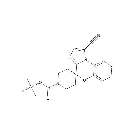 CC(C)(C)OC(=O)N1CCC2(CC1)Oc1ccccc1-n1c(C#N)ccc12